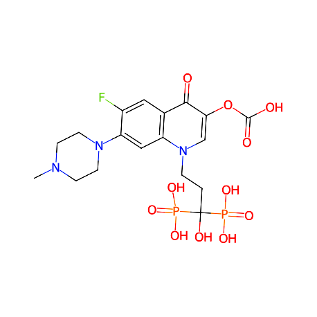 CN1CCN(c2cc3c(cc2F)c(=O)c(OC(=O)O)cn3CCC(O)(P(=O)(O)O)P(=O)(O)O)CC1